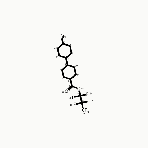 CCCC1CCC(C2CCC(C(=O)OC(F)(F)C(F)(F)C(F)(F)F)CC2)CC1